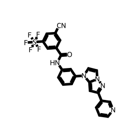 N#Cc1cc(C(=O)Nc2cccc(-n3ccn4nc(-c5cccnc5)cc34)c2)cc(S(F)(F)(F)(F)F)c1